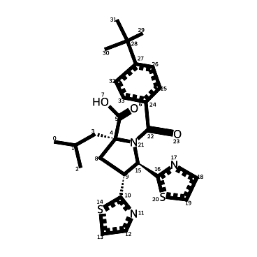 CC(C)C[C@@]1(C(=O)O)C[C@@H](c2nccs2)[C@H](c2nccs2)N1C(=O)c1ccc(C(C)(C)C)cc1